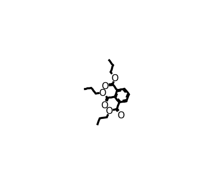 CCCOC(=O)c1cccc(C(=O)OCCC)c1C(=O)OCCC